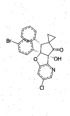 O=C1C2(CC2)[C@@H](c2ccccc2)[C@]2(c3ccc(Br)cc3)Oc3cc(Cl)cnc3[C@]12O